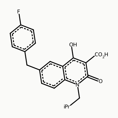 CC(C)Cn1c(=O)c(C(=O)O)c(O)c2cc(Cc3ccc(F)cc3)ccc21